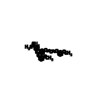 COc1cccc(CN(Cc2cccc(N(C)C)c2)c2ccc(OCCOCCOc3cccc(OC)c3)cc2)c1